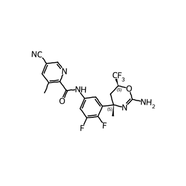 Cc1cc(C#N)cnc1C(=O)Nc1cc(F)c(F)c([C@]2(C)C[C@@H](C(F)(F)F)OC(N)=N2)c1